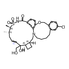 C[C@@H]1[C@@H](C)C/C=C/C(O)(CO)[C@@H]2CC[C@H]2CN2CCCCc3cc(Cl)ccc3COc3ccc(cc32)C(=O)NS1(=O)=O